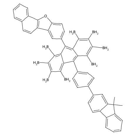 Bc1c(B)c(B)c2c(-c3ccc4oc5c6ccccc6ccc5c4c3)c3c(B)c(B)c(B)c(B)c3c(-c3ccc(-c4ccc5c(c4)C(C)(C)c4ccccc4-5)cc3)c2c1B